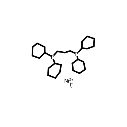 C1CCC(P(CCCP(C2CCCCC2)C2CCCCC2)C2CCCCC2)CC1.[I-].[I-].[Ni+2]